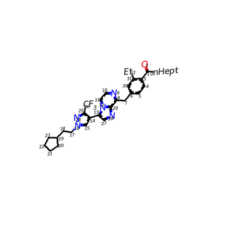 CCCCCCCC(=O)c1ccc(Cc2nccn3c(-c4cn(CCC5CCCC5)nc4C(F)(F)F)cnc23)cc1CC